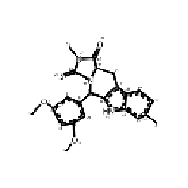 COc1cc(OC)cc(C2c3[nH]c4cc(C)ccc4c3CC3C(=O)N(C)C(=S)N32)c1